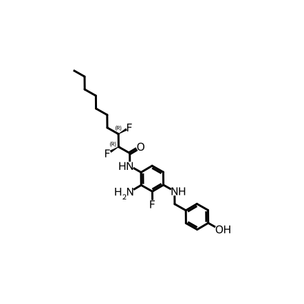 CCCCCCC[C@@H](F)[C@H](F)C(=O)Nc1ccc(NCc2ccc(O)cc2)c(F)c1N